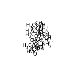 CC[C@H](C)C(C(CC(=O)N1CCCC1C(OC)C(C)C(=O)N[C@@H](Cc1ccc(N)cc1)C(=O)O)OC)N(C)C(=O)[C@@H](NC(=O)C(C(C)C)N(C)C)C(C)C